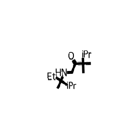 CCC(C)(NCC(=O)C(C)(C)C(C)C)C(C)C